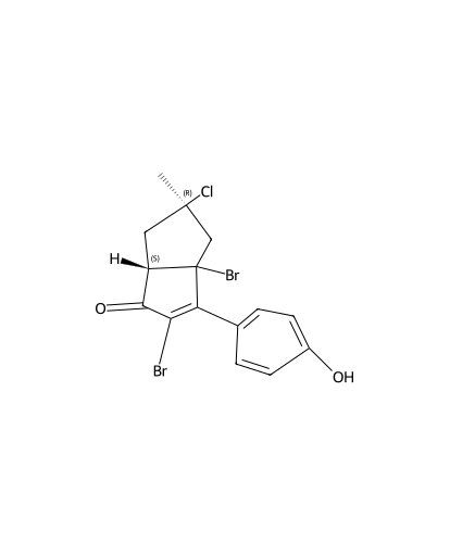 C[C@@]1(Cl)C[C@H]2C(=O)C(Br)=C(c3ccc(O)cc3)C2(Br)C1